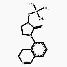 CC(C)(C)[Si](C)(C)OC1CCN(c2cccc3c2CCN=C3)C1=O